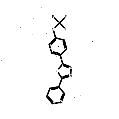 FC(F)(F)Oc1ccc(-c2nnc(-c3cccnc3)o2)cc1